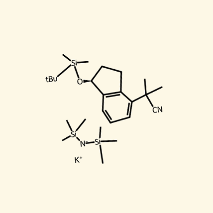 CC(C)(C#N)c1cccc2c1CC[C@@H]2O[Si](C)(C)C(C)(C)C.C[Si](C)(C)[N-][Si](C)(C)C.[K+]